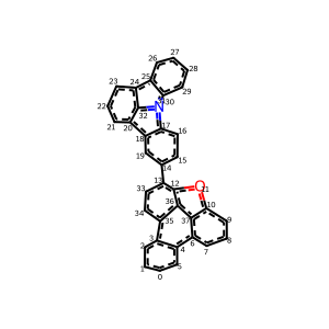 c1ccc2c(c1)c1cccc3oc4c(-c5ccc6c(c5)c5cccc7c8ccccc8n6c75)ccc2c4c31